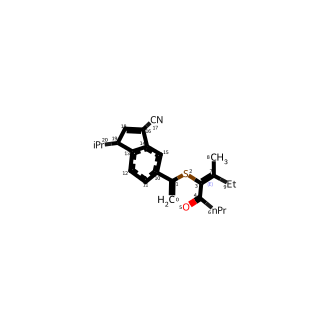 C=C(S/C(C(=O)CCC)=C(\C)CC)c1ccc2c(c1)C(C#N)=CC2C(C)C